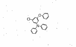 Clc1cc(Oc2ccccc2)cc(N(c2ccccc2)c2ccccc2)c1